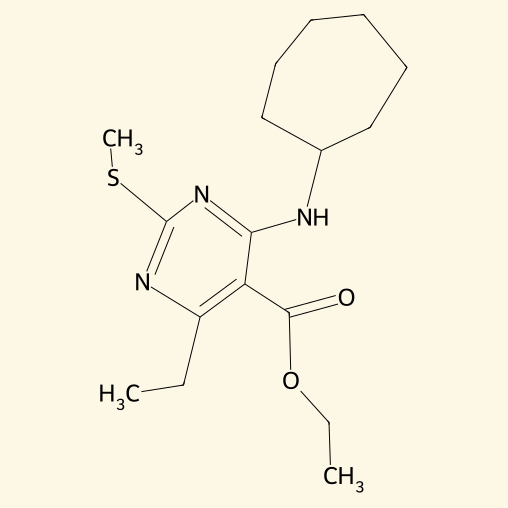 CCOC(=O)c1c(CC)nc(SC)nc1NC1CCCCCC1